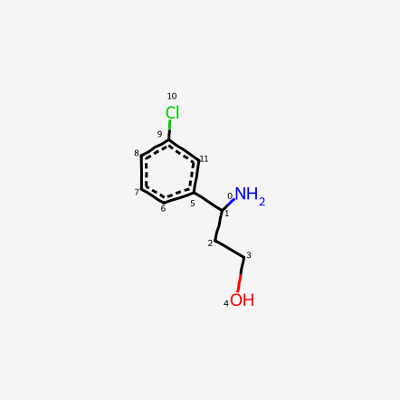 NC(CCO)c1cccc(Cl)c1